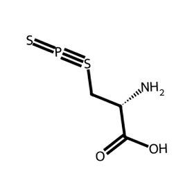 N[C@@H](CS#P=S)C(=O)O